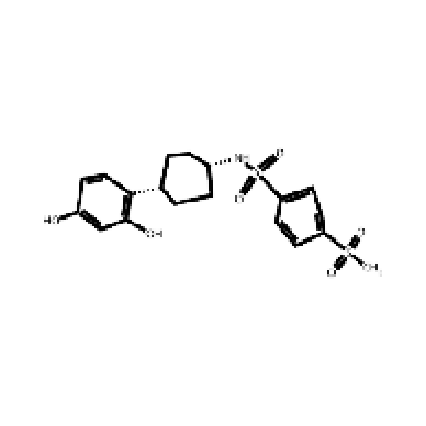 CS(=O)(=O)c1ccc(S(=O)(=O)N[C@H]2CC[C@@H](c3ccc(O)cc3O)CC2)cc1